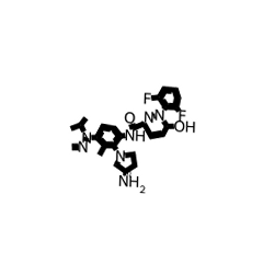 C=NN(c1ccc(NC(=O)C2=NN(c3c(F)cccc3F)C(O)C=C2)c(N2CC[C@@H](N)C2)c1C)C(C)C